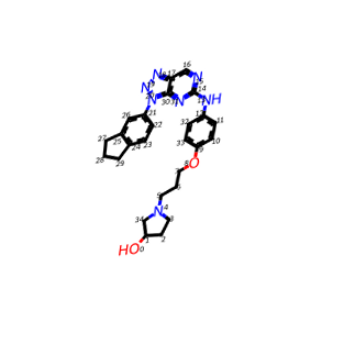 OC1CCN(CCCOc2ccc(Nc3ncc4nnn(-c5ccc6c(c5)CCC6)c4n3)cc2)C1